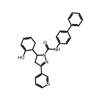 O=C(Nc1ccc(-c2ccccc2)cc1)N1N=C(c2cccnc2)CC1C1CC=CC=C1O